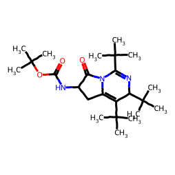 CC(C)(C)OC(=O)NC1CC2=C(C(C)(C)C)C(C(C)(C)C)N=C(C(C)(C)C)N2C1=O